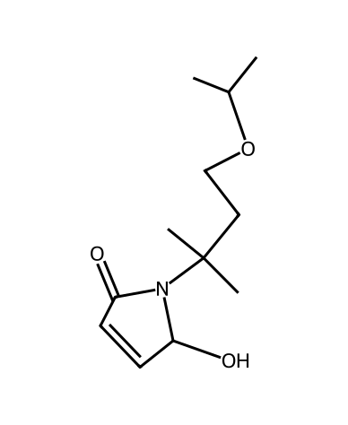 CC(C)OCCC(C)(C)N1C(=O)C=CC1O